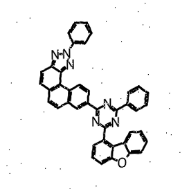 c1ccc(-c2nc(-c3ccc4c(ccc5ccc6nn(-c7ccccc7)nc6c54)c3)nc(-c3cccc4oc5ccccc5c34)n2)cc1